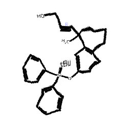 CC1(/C=C/CO)CCCc2ccc(O[Si](c3ccccc3)(c3ccccc3)C(C)(C)C)cc21